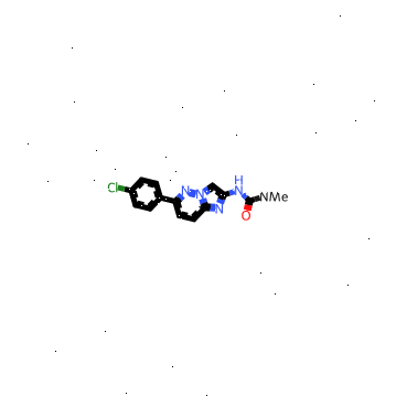 CNC(=O)Nc1cn2nc(-c3ccc(Cl)cc3)ccc2n1